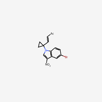 CC(=O)/C=C/C1(n2cc([N+](=O)[O-])c3cc(Br)ccc32)CC1